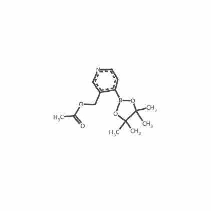 CC(=O)OCc1cnccc1B1OC(C)(C)C(C)(C)O1